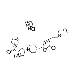 Cl.Cl.Cl.O=C([C@@H]1C[C@H](N2CCC(c3nn(CCN4CCOCC4)c(=O)o3)CC2)CN1)N1CCSC1